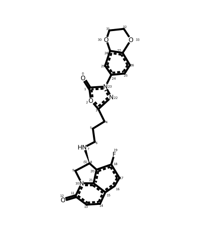 O=c1oc(CCCN[C@@H]2Cn3c(=O)ccc4ccc(F)c2c43)nn1-c1ccc2c(c1)OCCO2